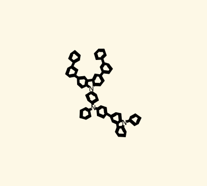 c1ccc(-c2cccc(-c3ccc4c(c3)c3cc(-c5cccc(-c6ccccc6)c5)ccc3n4-c3ccc(N(c4ccccc4)c4ccc(-c5ccc6c(c5)c5ccccc5n6-c5ccccc5)cc4)cc3)c2)cc1